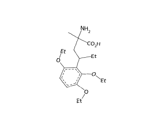 CCOc1ccc(OCC)c(C(CC)CC(C)(N)C(=O)O)c1OCC